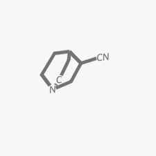 N#CC1CN2CCC1CC2